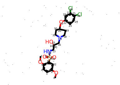 COc1ccc(OC)c(S(=O)(=O)NC[C@H](O)CN2CCC(Oc3ccc(Cl)c(Cl)c3)CC2)c1